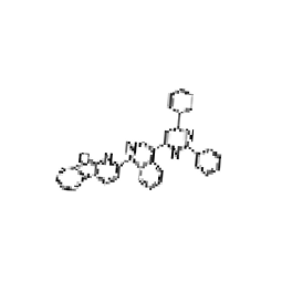 c1ccc(-c2cc(-c3cnc(-c4ccc5c(n4)oc4ccccc45)c4ccccc34)nc(-c3ccccc3)n2)cc1